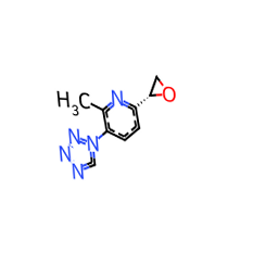 Cc1nc([C@@H]2CO2)ccc1-n1cnnn1